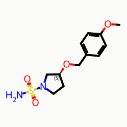 COc1ccc(CO[C@H]2CCN(S(N)(=O)=O)C2)cc1